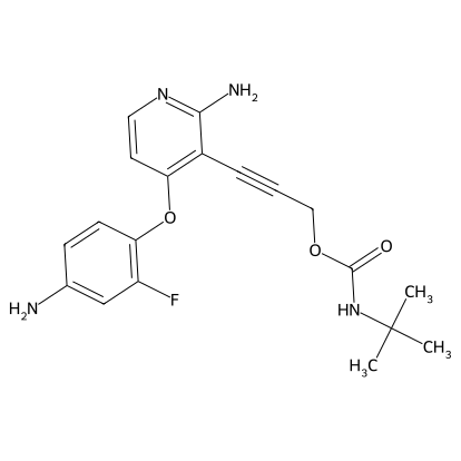 CC(C)(C)NC(=O)OCC#Cc1c(Oc2ccc(N)cc2F)ccnc1N